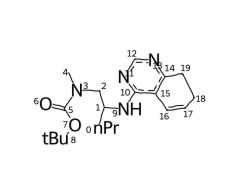 CCCC(CN(C)C(=O)OC(C)(C)C)Nc1ncnc2c1C=CCC2